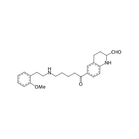 COc1ccccc1CCNCCCCC(=O)c1ccc2c(c1)CCC(C=O)N2